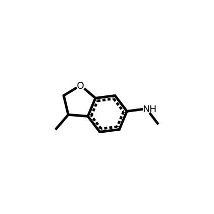 CNc1ccc2c(c1)OCC2C